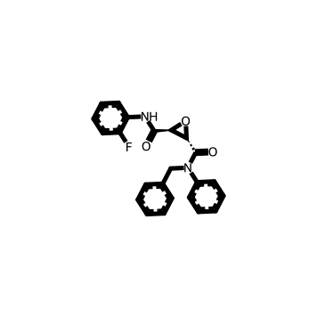 O=C(Nc1ccccc1F)[C@H]1O[C@@H]1C(=O)N(Cc1ccccc1)c1ccccc1